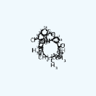 CO[C@]1(C)CCC[C@H](C)[C@@H](C)S(=O)(=O)NC(=O)c2ccc3c(c2)N(C[C@@H]2CC[C@H]21)C[C@@]1(CCCc2cc(Cl)ccc21)CO3